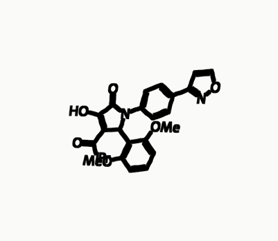 COc1cccc(OC)c1C1C(C(=O)C(C)C)=C(O)C(=O)N1c1ccc(-c2ccon2)cc1